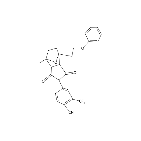 CC12CCC(CCOc3ccccc3)(O1)C1C(=O)N(c3ccc(C#N)c(C(F)(F)F)c3)C(=O)C12